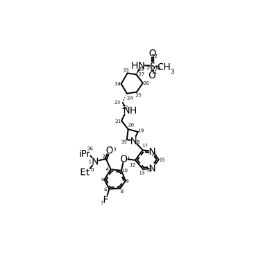 CCN(C(=O)c1cc(F)ccc1Oc1cncnc1N1CC(CNC[C@H]2CC[C@H](NS(C)(=O)=O)CC2)C1)C(C)C